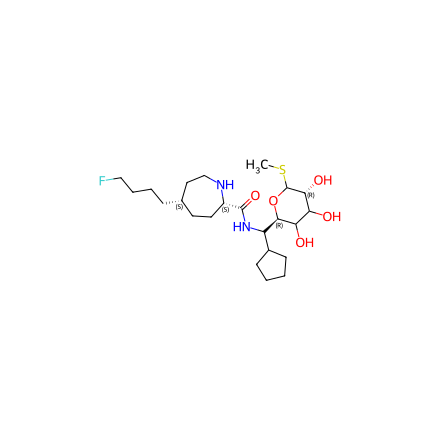 CSC1O[C@H](C(NC(=O)[C@@H]2CC[C@H](CCCCF)CCN2)C2CCCC2)C(O)C(O)[C@H]1O